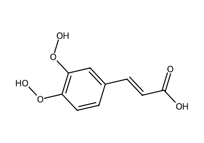 O=C(O)C=Cc1ccc(OO)c(OO)c1